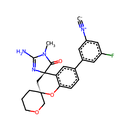 [C-]#[N+]c1cc(F)cc(-c2ccc3c(c2)[C@]2(C[C@]4(CCCOC4)O3)N=C(N)N(C)C2=O)c1